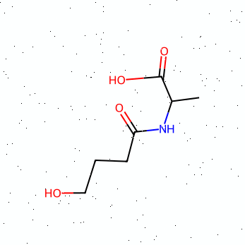 CC(NC(=O)CCCO)C(=O)O